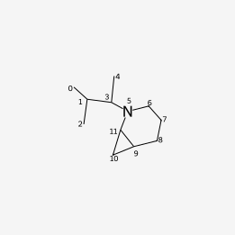 CC(C)C(C)N1CCCC2CC21